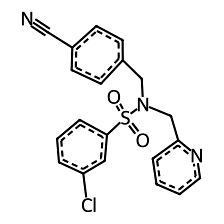 N#Cc1ccc(CN(Cc2ccccn2)S(=O)(=O)c2cccc(Cl)c2)cc1